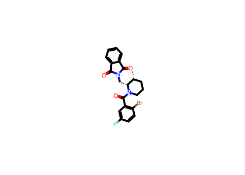 C[C@@H]1CCCN(C(=O)c2cc(F)ccc2Br)[C@@H]1CN1C(=O)c2ccccc2C1=O